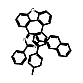 CC1C=CC(c2ccc(-c3cccc4oc5cccc(-c6nc(-c7ccccc7)nc(-c7ccc8ccccc8c7)n6)c5c34)cc2)=CC1